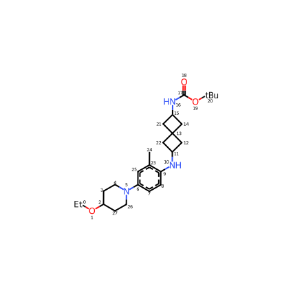 CCOC1CCN(c2ccc(NC3CC4(CC(NC(=O)OC(C)(C)C)C4)C3)c(C)c2)CC1